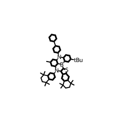 Cc1cc2c3c(c1)N(c1ccc4c(c1)C(C)(C)CCC4(C)C)c1c(sc4cc5c(cc14)C(C)(C)CCC5(C)C)B3c1cc(C(C)(C)C)ccc1N2c1ccc(-c2ccccc2)cc1